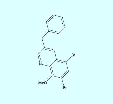 COc1c(Br)cc(Br)c2cc(Cc3ccccc3)cnc12